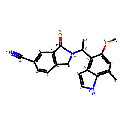 COc1cc(C)c2[nH]ccc2c1C(C)N1Cc2ccc(C#N)cc2C1=O